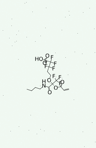 C=CC(=O)OC(OCCC(F)(F)C(F)(F)S(=O)(=O)O)(C(=O)NCCCC)C(F)(F)F